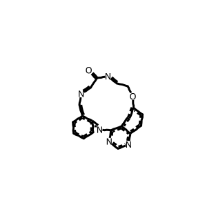 O=C1/C=N/C=c2/cccc/c2=N\c2ncnc3ccc(cc23)OC/C=N/1